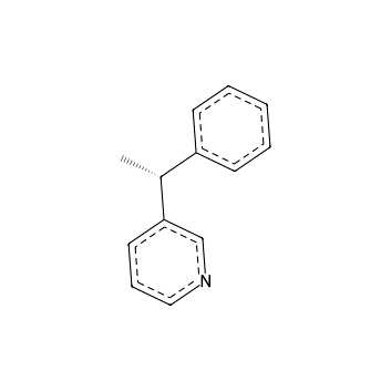 C[C@H](c1ccccc1)c1cccnc1